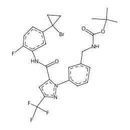 CC(C)(C)OC(=O)NCc1cccc(-n2nc(C(F)(F)F)cc2C(=O)Nc2cc(C3(Br)CC3)ccc2F)c1